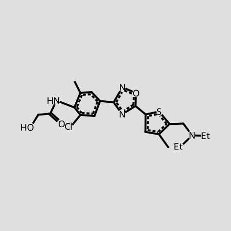 CCN(CC)Cc1sc(-c2nc(-c3cc(C)c(NC(=O)CO)c(Cl)c3)no2)cc1C